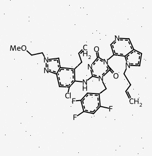 C=CCCn1ccc2cncc(-n3c(=O)nc(Nc4c(Cl)cc5nn(CCOC)cc5c4CC=C)n(Cc4cc(F)c(F)cc4F)c3=O)c21